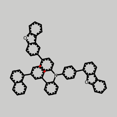 c1cc(-c2ccccc2N(c2ccc(-c3ccc4oc5ccccc5c4c3)cc2)c2ccc(-c3cccc4c3oc3ccccc34)cc2)cc(-c2cccc3ccccc23)c1